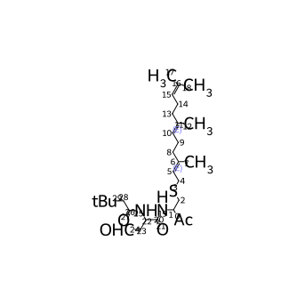 CC(=O)C(CSC/C=C(\C)CC/C=C(\C)CCC=C(C)C)NC(=O)C(CC=O)NC(=O)CC(C)(C)C